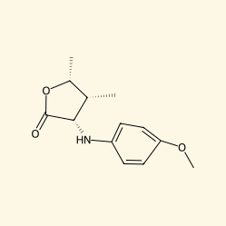 COc1ccc(N[C@@H]2C(=O)O[C@H](C)[C@@H]2C)cc1